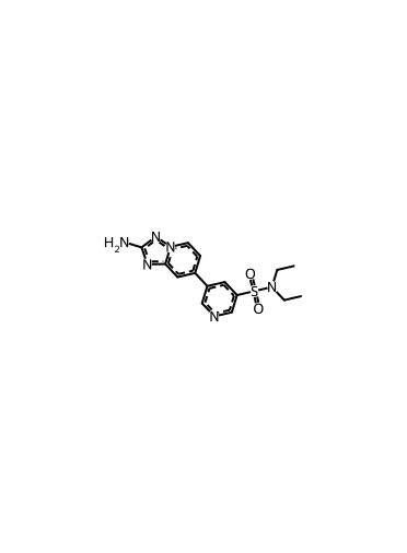 CCN(CC)S(=O)(=O)c1cncc(-c2ccn3nc(N)nc3c2)c1